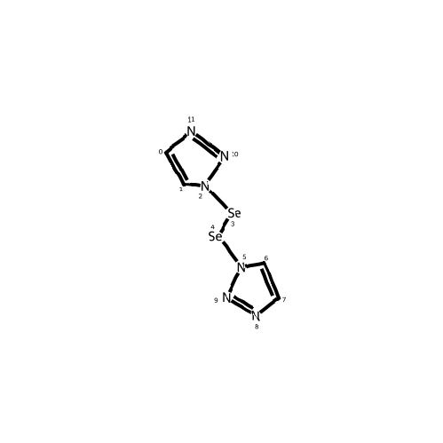 c1cn([Se][Se]n2ccnn2)nn1